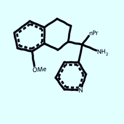 CCCC(N)(c1cccnc1)C1CCc2cccc(OC)c2C1